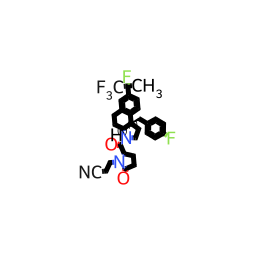 CC(F)(c1ccc2c(c1)CC[C@H]1N(C(=O)C3CCC(=O)N3CCC#N)CC[C@@]21Cc1ccc(F)cc1)C(F)(F)F